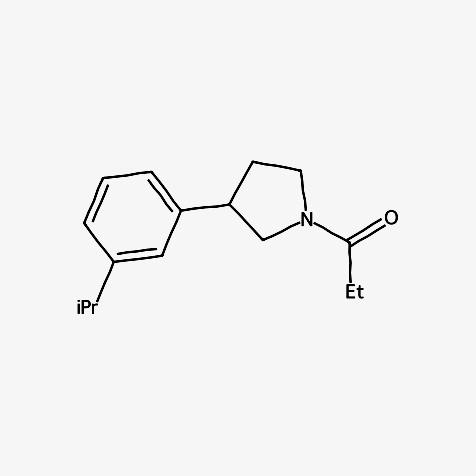 CCC(=O)N1CCC(c2cccc(C(C)C)c2)C1